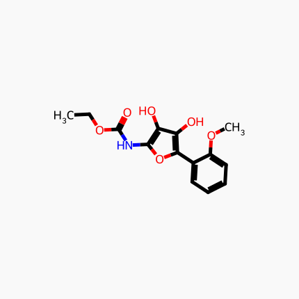 CCOC(=O)Nc1oc(-c2ccccc2OC)c(O)c1O